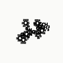 CC(C)(C)[Si](O[C@H]1CN2CCC[C@@]2(COc2nc(SCc3ccccc3)c3cnc(-c4cccc5cccc(Cl)c45)c(F)c3n2)C1)(c1ccccc1)c1ccccc1